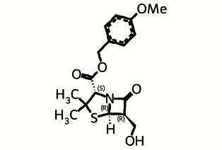 COc1ccc(COC(=O)[C@@H]2N3C(=O)[C@@H](CO)[C@H]3SC2(C)C)cc1